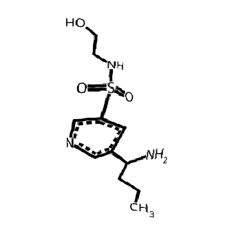 CCCC(N)c1cncc(S(=O)(=O)NCCO)c1